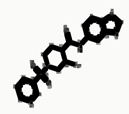 O=C(Nc1ccc2scnc2c1)C1CCN(S(=O)(=O)c2cccnc2)CC1F